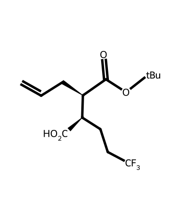 C=CC[C@@H](C(=O)OC(C)(C)C)[C@@H](CCC(F)(F)F)C(=O)O